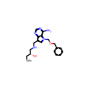 CSC[C@@H](O)CNCc1cn(COCc2ccccc2)c2c(N)ncnc12